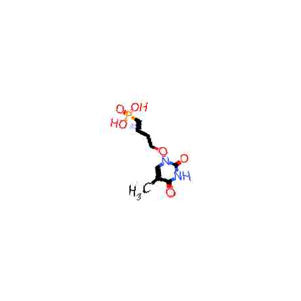 Cc1cn(OCC/C=C/P(=O)(O)O)c(=O)[nH]c1=O